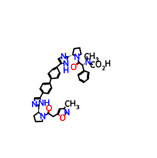 Cc1cc(CC(=O)N2CCC[C@H]2c2ncc(-c3ccc(-c4ccc(-c5cnc([C@@H]6CCCN6C(=O)[C@@H](c6ccccc6)N(C)C(=O)O)[nH]5)cc4)cc3)[nH]2)on1